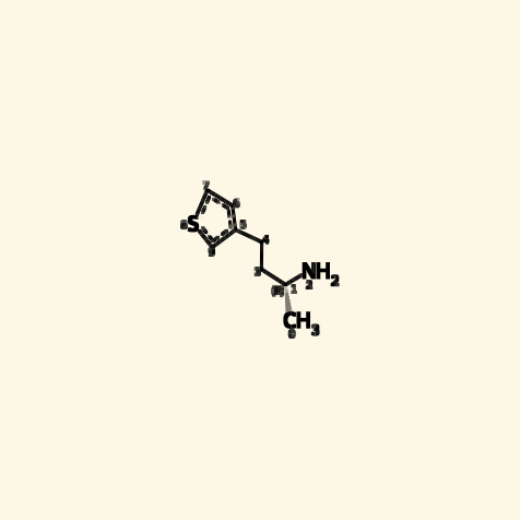 C[C@@H](N)CCc1ccsc1